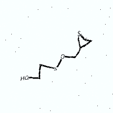 OCCSOCC1CS1